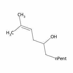 CCCCCCC(O)CC=C(C)C